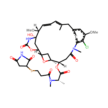 COc1cc2cc(c1Cl)N(C)C(=O)C[C@H](OC(=O)[C@H](C)N(C)C(=O)CCSC1CC(=O)NC1=O)[C@]1(C)CC(C)(O1)[C@@H]1C[C@@](O)(NC(=O)O1)[C@H](OC)/C=C/C=C(\C)C2